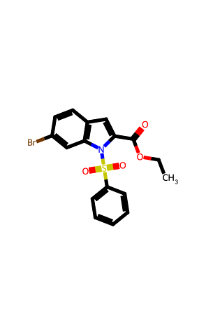 CCOC(=O)c1cc2ccc(Br)cc2n1S(=O)(=O)c1ccccc1